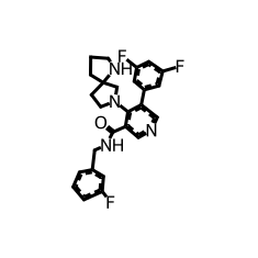 O=C(NCc1cccc(F)c1)c1cncc(-c2cc(F)cc(F)c2)c1N1CCC2(CCCN2)C1